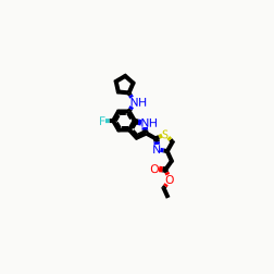 CCOC(=O)CC1CSC(c2cc3cc(F)cc(NC4CCCC4)c3[nH]2)=N1